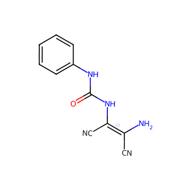 N#C/C(N)=C(\C#N)NC(=O)Nc1ccccc1